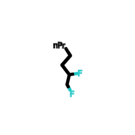 CCCCCC(F)CF